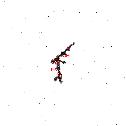 CCCCCCCCCOC(=O)CCCCCCCN(CCO)CCCCCCCC(=O)OC(CCCCCCCC)CC(CCCCCC)C(CCCCCCCCC)COC(=O)CCCCCN(CCO)CCCCCCCC(=O)OC(CCCCCCCC)CCCCCCCC